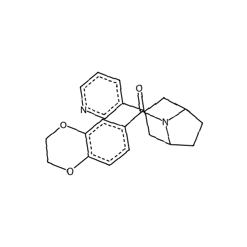 O=C(c1ccc2c(c1)OCCO2)N1C2CCC1CC(c1cccnc1)C2